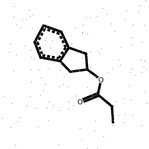 C[CH]C(=O)OC1Cc2ccccc2C1